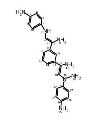 N/C(=C\Nc1ccc(N)cc1)c1cccc(/C(N)=C/N(N)c2ccc(N)cc2)c1